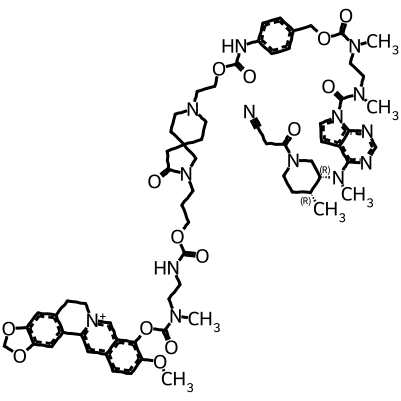 COc1ccc2cc3[n+](cc2c1OC(=O)N(C)CCNC(=O)OCCCN1CC2(CCN(CCOC(=O)Nc4ccc(COC(=O)N(C)CCN(C)C(=O)n5ccc6c(N(C)[C@H]7CN(C(=O)CC#N)CC[C@H]7C)ncnc65)cc4)CC2)CC1=O)CCc1cc2c(cc1-3)OCO2